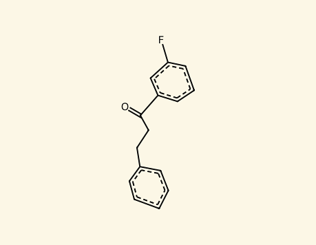 O=C(CCc1ccccc1)c1cccc(F)c1